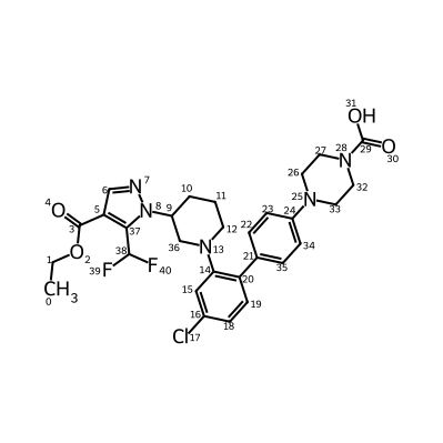 CCOC(=O)c1cnn(C2CCCN(c3cc(Cl)ccc3-c3ccc(N4CCN(C(=O)O)CC4)cc3)C2)c1C(F)F